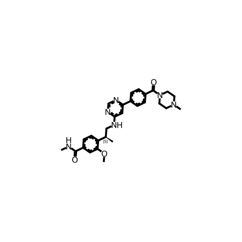 CNC(=O)c1ccc([C@H](C)CNc2cc(-c3ccc(C(=O)N4CCN(C)CC4)cc3)ncn2)c(OC)c1